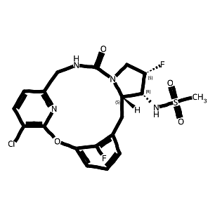 CS(=O)(=O)N[C@H]1[C@@H](F)CN2C(=O)NCc3ccc(Cl)c(n3)Oc3cccc(c3F)C[C@@H]12